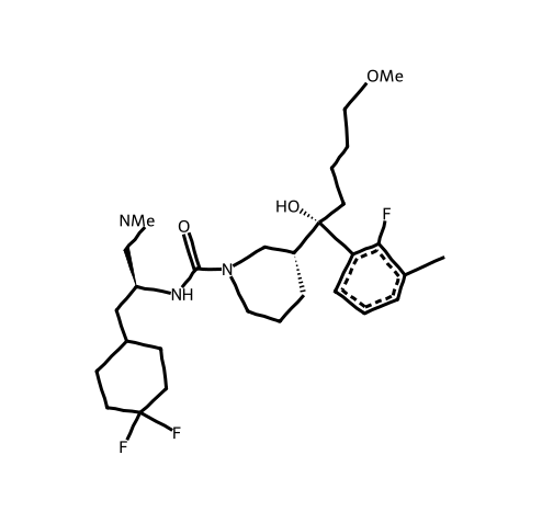 CNC[C@H](CC1CCC(F)(F)CC1)NC(=O)N1CCC[C@@H]([C@@](O)(CCCCOC)c2cccc(C)c2F)C1